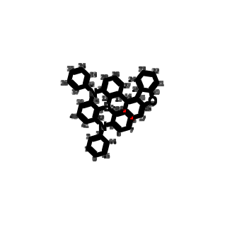 c1ccc(N2c3ccccc3B3c4c(-c5cccc6oc7ccccc7c56)cccc4N(c4ccccc4)c4cccc2c43)cc1